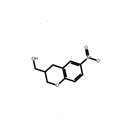 O=[N+]([O-])c1ccc2c(c1)CC(CO)CO2